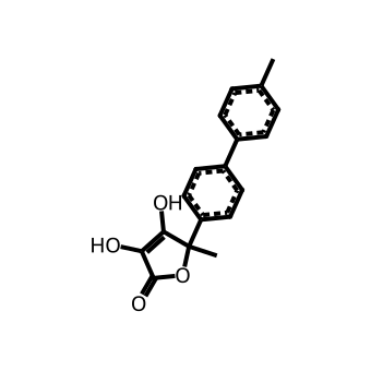 Cc1ccc(-c2ccc(C3(C)OC(=O)C(O)=C3O)cc2)cc1